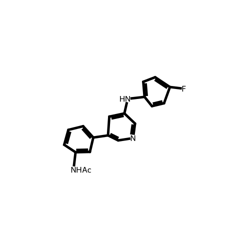 CC(=O)Nc1cccc(-c2cncc(Nc3ccc(F)cc3)c2)c1